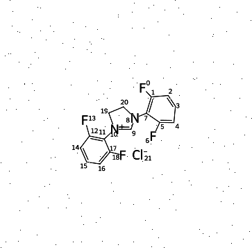 Fc1cccc(F)c1N1C=[N+](c2c(F)cccc2F)CC1.[Cl-]